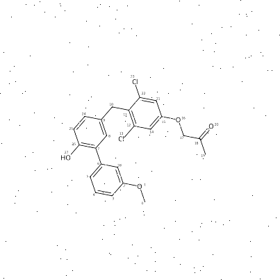 COc1cccc(-c2cc(Cc3c(Cl)cc(OCC(C)=O)cc3Cl)ccc2O)c1